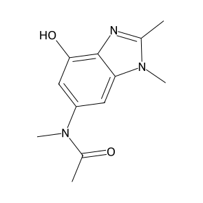 CC(=O)N(C)c1cc(O)c2nc(C)n(C)c2c1